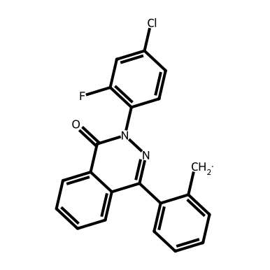 [CH2]c1ccccc1-c1nn(-c2ccc(Cl)cc2F)c(=O)c2ccccc12